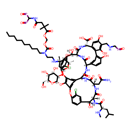 CCCCCCCCCCN(CCN[C@@]1(C)C[C@H](O[C@H]2[C@H](Oc3c4cc5cc3Oc3ccc(cc3Cl)[C@@H](O)[C@@H](NC(=O)[C@@H](CC(C)C)NC)C(=O)N[C@@H](CC(N)=O)C(=O)N[C@H]5C(=O)N[C@H]3C(=O)N[C@H](C(=O)N[C@H](C(=O)O)c5cc(O)c(CNCP=O)c(O)c5-c5cc3ccc5O)[C@H](O)c3ccc(c(Cl)c3)O4)O[C@H](CO)[C@@H](O)[C@@H]2O)O[C@@H](C)[C@H]1O)C(=O)OCOC(=O)C(C)(C)CC(=O)NC(P=O)P=O